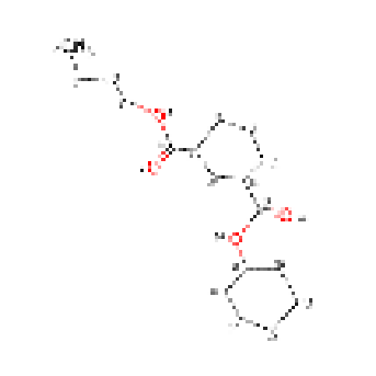 CCCCOC(=O)C1CCCC(C(=O)OC2CCCCC2)C1